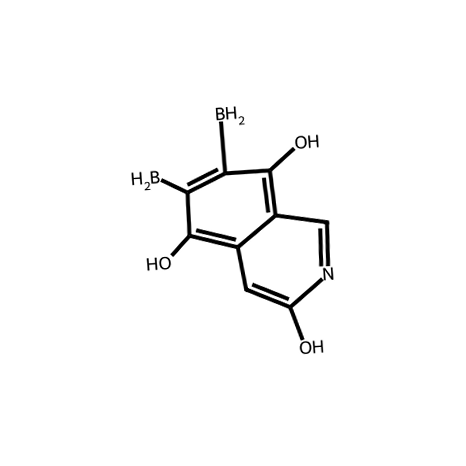 Bc1c(B)c(O)c2cc(O)ncc2c1O